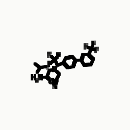 CC(C)C[C@@H](C(N)=O)N(CC#N)[C@@H](c1ccc(-c2cccc(C(F)(F)F)c2)cc1)C(F)(F)F